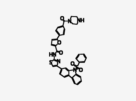 O=C(Nc1nc(-c2ccc3c4ccccc4n(S(=O)(=O)c4ccccc4)c3c2)cs1)c1ccc(-c2ccc(C(=O)N3CCNCC3)cc2)o1